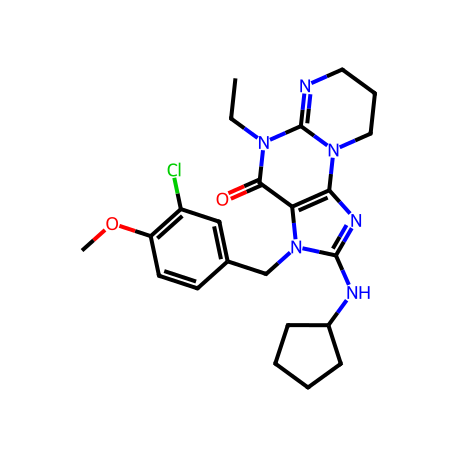 CCN1C(=O)c2c(nc(NC3CCCC3)n2Cc2ccc(OC)c(Cl)c2)N2CCCN=C12